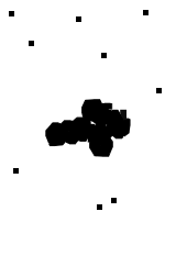 c1ccc2cc3cc(-n4c5ccccc5c5c6cccnc6c6sc7ccccc7c6c54)ccc3cc2c1